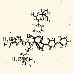 CC(C)(C)OC(=O)[C@H]1CC[C@H](c2nc3c(-c4ccc(-c5ccccc5)nc4)cnn3c(N(COCC[Si](C)(C)C)COCC[Si](C)(C)C)c2Br)CC1